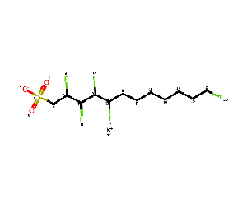 O=S(=O)([O-])CC(F)C(F)C(F)C(F)CCCCCCCF.[K+]